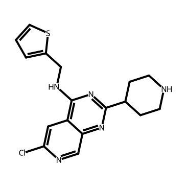 Clc1cc2c(NCc3cccs3)nc(C3CCNCC3)nc2cn1